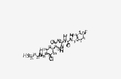 O=C(NCc1ccc(F)cc1)Nc1nc(=O)c(-c2ccc(CNCCCS)c(Cl)c2)c[nH]1